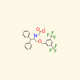 COC(=O)CN(C)C(COCc1cc(C(F)(F)F)cc(C(F)(F)F)c1)C(c1ccccc1)c1ccccc1